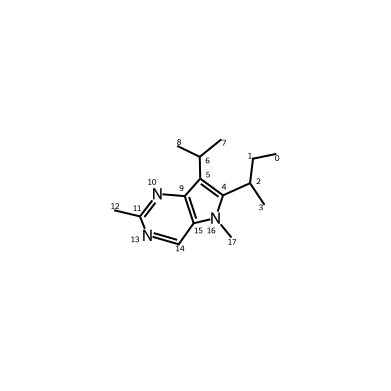 CCC(C)c1c(C(C)C)c2nc(C)ncc2n1C